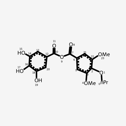 CCCOc1c(OC)cc(C(=O)OC(=O)c2cc(O)c(O)c(O)c2)cc1OC